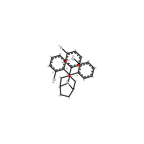 Fc1cccc(C2CC3CCC(C2)N3C(c2ccccc2Cl)c2ccccc2Cl)n1